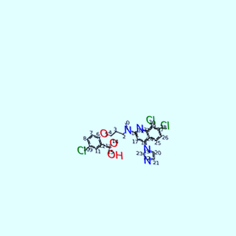 CN(CCCOc1ccc(Cl)cc1C(=O)O)c1cc(-n2ccnc2)c2ccc(Cl)c(Cl)c2n1